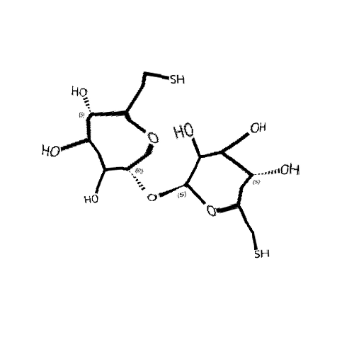 OC1C(O)[C@H](O)C(CS)O[C@@H]1O[C@@H]1OC(CS)[C@@H](O)C(O)C1O